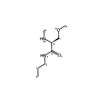 CCCNC(=O)[C@H](COC)NC